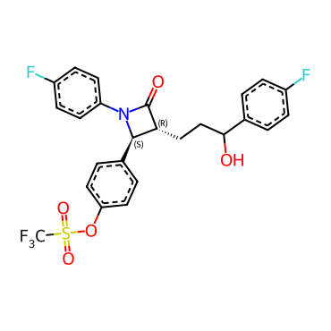 O=C1[C@H](CCC(O)c2ccc(F)cc2)[C@@H](c2ccc(OS(=O)(=O)C(F)(F)F)cc2)N1c1ccc(F)cc1